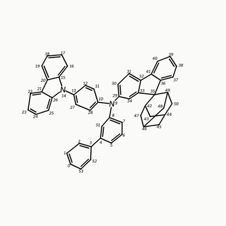 c1ccc(-c2cccc(N(c3ccc(-n4c5ccccc5c5ccccc54)cc3)c3ccc4c(c3)C3(c5ccccc5-4)C4CC5CC(C4)CC3C5)c2)cc1